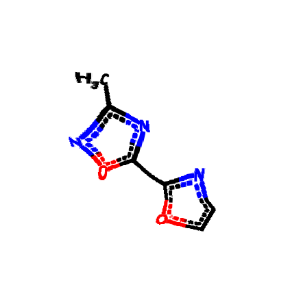 Cc1noc(-c2ncco2)n1